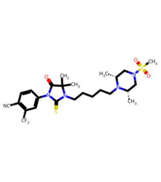 C[C@@H]1CN(S(C)(=O)=O)C[C@H](C)N1CCCCCN1C(=S)N(c2ccc(C#N)c(C(F)(F)F)c2)C(=O)C1(C)C